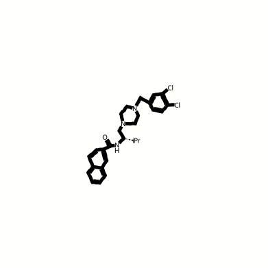 CC(C)[C@@H](CN1CCN(Cc2ccc(Cl)c(Cl)c2)CC1)NC(=O)c1ccc2ccccc2c1